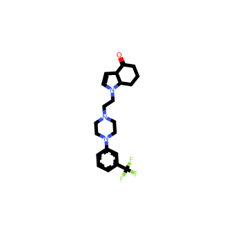 O=C1CCCC2C1C=CN2CCN1CCN(c2cccc(C(F)(F)F)c2)CC1